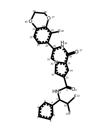 O=C(NC(c1ccccc1)C(F)F)c1cc2c(=O)[nH]c(-c3ccc4c(c3F)OCCO4)cn2c1